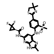 Cc1nc2c(Nc3ccc(C4=NC(C)(C)CS4)cc3S(C)(=O)=O)cc(NC(=O)[C@H]3CC3(F)F)nc2[nH]1